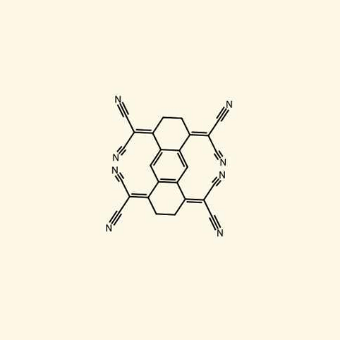 N#CC(C#N)=C1CCC(=C(C#N)C#N)c2cc3c(cc21)C(=C(C#N)C#N)CCC3=C(C#N)C#N